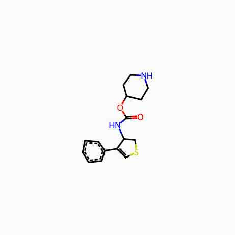 O=C(NC1CSC=C1c1ccccc1)OC1CCNCC1